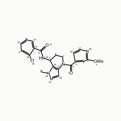 COc1cc(C(=O)N2CCC(NC(=O)c3ccccc3Cl)c3c2cnn3C)ccn1